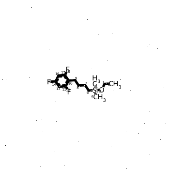 CCO[Si](C)(C)CCCCc1c(F)cc(F)cc1F